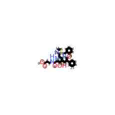 COC(=O)CCNC(=O)c1nc(-c2nccs2)c2c(cc(-c3ccccc3)c(=O)n2Cc2ccccc2)c1O